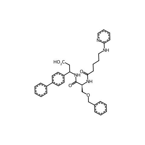 O=C(O)CC(NC(=O)[C@H](COCc1ccccc1)NC(=O)CCCCNc1ccccn1)c1ccc(-c2ccccc2)cc1